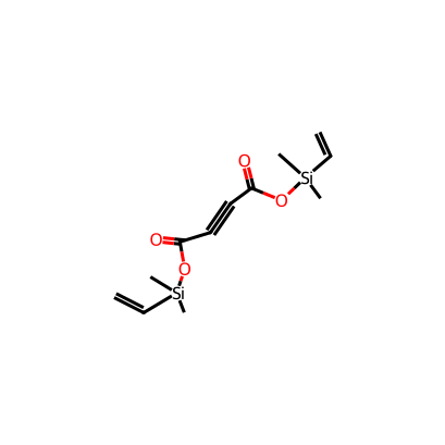 C=C[Si](C)(C)OC(=O)C#CC(=O)O[Si](C)(C)C=C